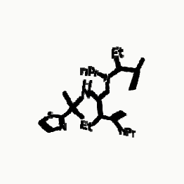 C=C(CCC)/C(CC)=C(\CN(CCC)C(CC)C(=C)C)NC(C)(C)c1nccs1